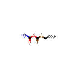 NC(=O)OC(=S)SCC(=O)O